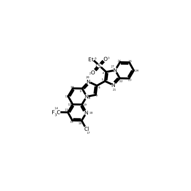 CCS(=O)(=O)c1c(-c2cn3c(ccc4c(C(F)(F)F)cc(Cl)nc43)n2)nc2ccccn12